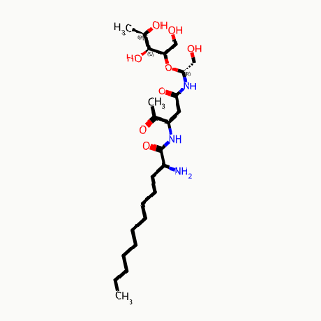 CCCCCCCCCCC(N)C(=O)NC(CC(=O)N[C@@H](CO)OC(CO)[C@@H](O)[C@@H](C)O)C(C)=O